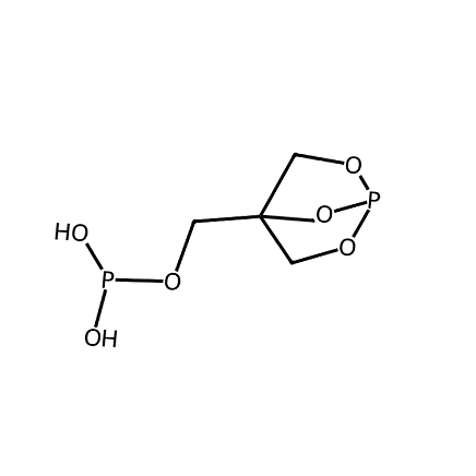 OP(O)OCC12COP(OC1)OC2